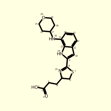 O=C(O)CCC1CSC(c2cc3cccc(NC4CCOCC4)c3[nH]2)=N1